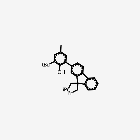 Cc1cc(-c2ccc3c(c2)C(CC(C)C)(CC(C)C)c2ccccc2-3)c(O)c(C(C)(C)C)c1